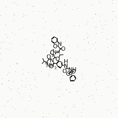 CC(C)[C@H](N)C(=O)N(C(=O)c1ccc(NC(=O)NS(=O)(=O)c2ccccc2)cc1)C(=O)[C@@H]1CCCN1[C@H](C(=O)c1nc2ccccc2o1)C(C)C